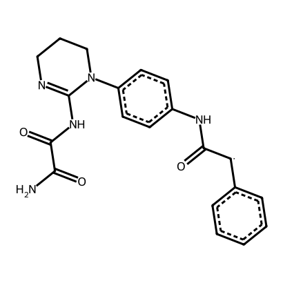 NC(=O)C(=O)NC1=NCCCN1c1ccc(NC(=O)[CH]c2ccccc2)cc1